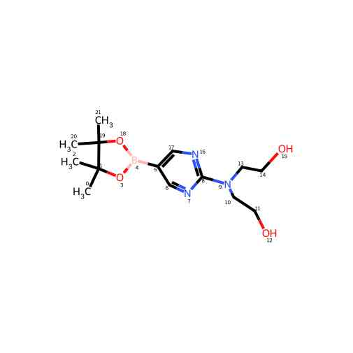 CC1(C)OB(c2cnc(N(CCO)CCO)nc2)OC1(C)C